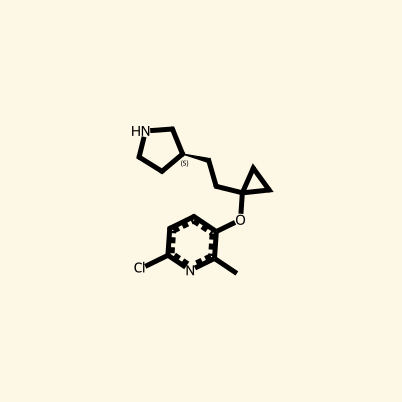 Cc1nc(Cl)ccc1OC1(CC[C@H]2CCNC2)CC1